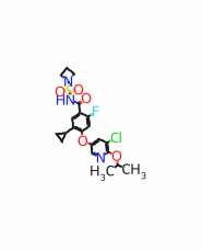 CC(C)Oc1ncc(Oc2cc(F)c(C(=O)NS(=O)(=O)N3CCC3)cc2C2CC2)cc1Cl